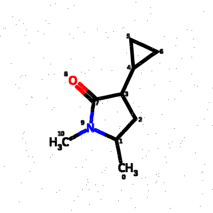 CC1CC(C2CC2)C(=O)N1C